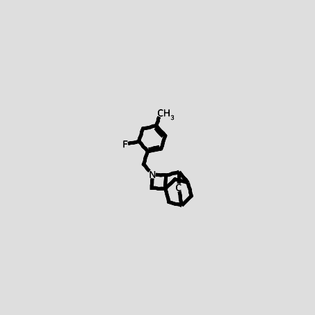 CC1=CC=C(CN2CC34CC5CC(C3)C(C5)C24)C(F)C1